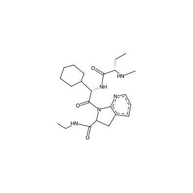 CCNC(=O)C1Cc2cccnc2N1C(=O)[C@@H](NC(=O)[C@H](CC)NC)C1CCCCC1